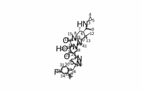 C=C(NC1CC1)[C@@H]1CCC2(CC1(C)C)N(C)C(=O)c1c(O)c(=O)c(-c3nnc(Cc4ccc(F)cc4F)s3)cn1N2C